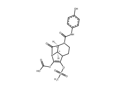 CS(=O)(=O)OC1=C(OC(=O)O)N2C(=O)[C@@H]3[C@H]2C1CCN3C(=O)Nc1ccc(O)cc1